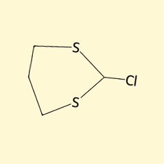 ClC1SCCCS1